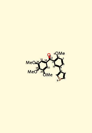 COc1ccc(-c2ccsc2)cc1C(=O)c1cc(OC)c(OC)c(OC)c1